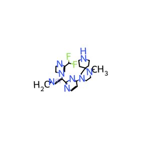 C=N/C=C(/c1nccc(N2CCN(C)C3(CCNCC3)C2)n1)N1C=C(C(F)F)N=CC1